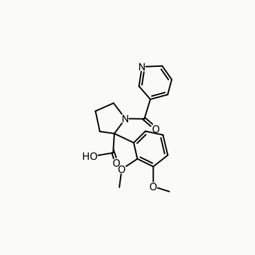 COc1cccc(C2(C(=O)O)CCCN2C(=O)c2cccnc2)c1OC